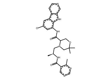 Cc1ncncc1C(=O)N[C@@H](C)CN1CC(C)(C)OCC1C(=O)Nc1cc(Cl)cc2c1[nH]c1cnccc12